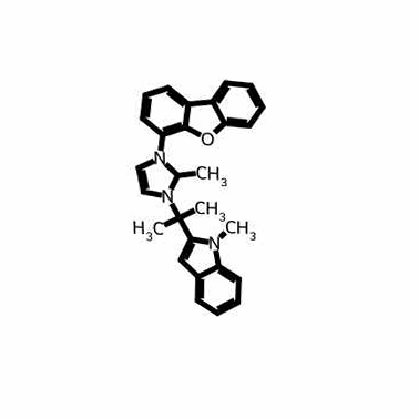 CC1N(c2cccc3c2oc2ccccc23)C=CN1C(C)(C)c1cc2ccccc2n1C